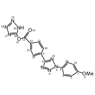 COc1ccc(-n2nnc(-c3ccc(C(=O)Oc4nnn[nH]4)cc3)n2)cc1